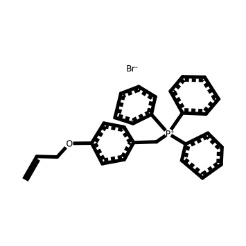 C=CCOc1ccc(C[P+](c2ccccc2)(c2ccccc2)c2ccccc2)cc1.[Br-]